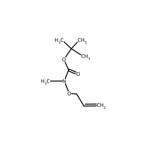 C=CCON(C)C(=O)OC(C)(C)C